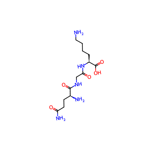 NCCCC[C@H](NC(=O)CNC(=O)[C@@H](N)CCC(N)=O)C(=O)O